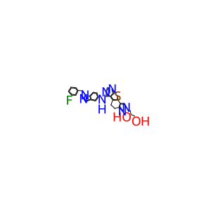 OC[C@H](O)Cn1cc2c(n1)CCc1c-2sc2ncnc(Nc3ccc4c(cnn4Cc4cccc(F)c4)c3)c12